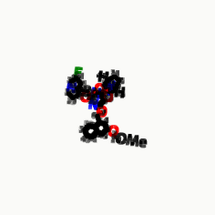 COCOc1cc(COc2cc(N3C[C@H]4CC[C@@H](C3)N4C(=O)OC(C)(C)C)nc(OC[C@@]34CCCN3C[C@H](F)C4)n2)c2ccccc2c1